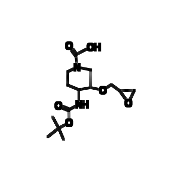 CC(C)(C)OC(=O)NC1CCN(C(=O)O)CC1OCC1CO1